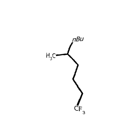 CCCCC(C)CCCC(F)(F)F